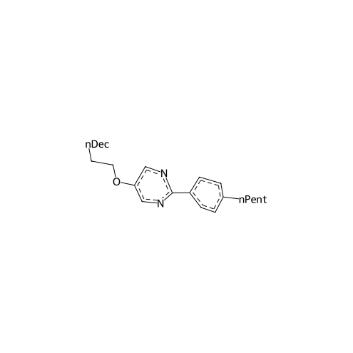 CCCCCCCCCCCCOc1cnc(-c2ccc(CCCCC)cc2)nc1